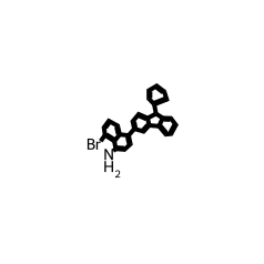 Nc1ccc(-c2ccc3c(c2)-c2ccccc2C3c2ccccc2)c2cccc(Br)c12